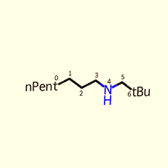 CCCCCCCCNCC(C)(C)C